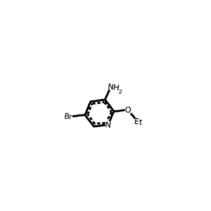 [CH2]COc1ncc(Br)cc1N